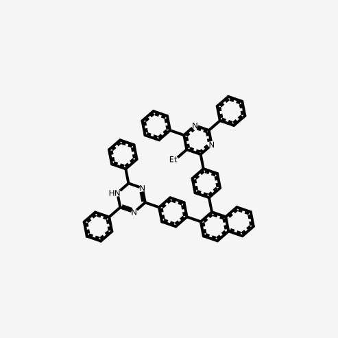 CCc1c(-c2ccccc2)nc(-c2ccccc2)nc1-c1ccc(-c2c(-c3ccc(C4=NC(c5ccccc5)NC(c5ccccc5)=N4)cc3)ccc3ccccc23)cc1